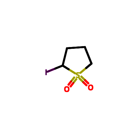 O=S1(=O)CCCC1I